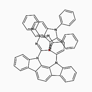 c1ccc(-c2nc(-c3ccccc3)nc(-n3c4ccccc4c4ccc5c6ccccc6n(-c6ccc7c(c6)c6ccccc6n7-c6ccccc6)c5c43)n2)cc1